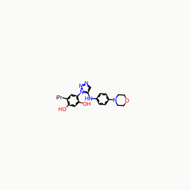 CC(C)c1cc(-n2nncc2Nc2ccc(N3CCOCC3)cc2)c(O)cc1O